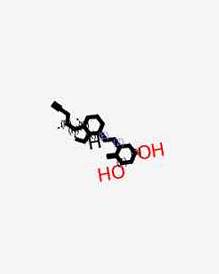 C#CC[C@@H](C)[C@H]1CC[C@H]2/C(=C/C=C3/C[C@@H](O)C[C@H](O)C3=C)CCC[C@]12C